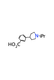 CC(C)N1CCC(c2cccc(C(=O)O)c2)CC1